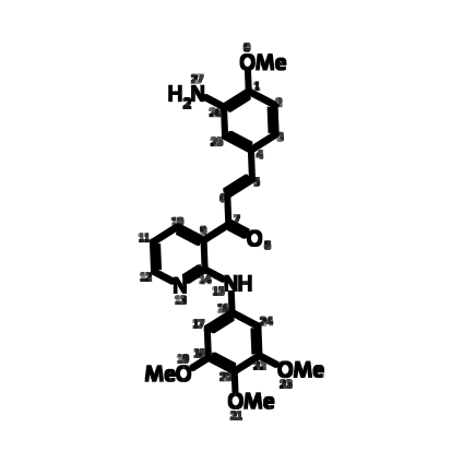 COc1ccc(C=CC(=O)c2cccnc2Nc2cc(OC)c(OC)c(OC)c2)cc1N